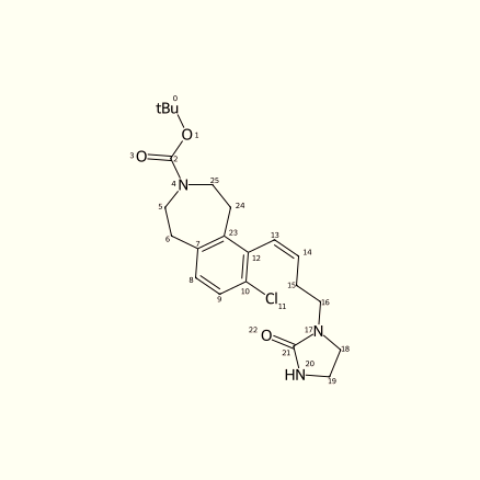 CC(C)(C)OC(=O)N1CCc2ccc(Cl)c(/C=C\CCN3CCNC3=O)c2CC1